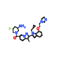 Cc1c(-c2cc3cccc(OCCn4ccnc4)c3n2CC2CC2)nn2cc(C(=O)N3C[C@H](N)C[C@@H](F)C3)ccc12